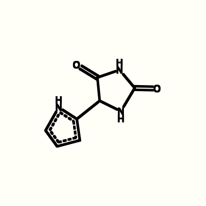 O=C1NC(=O)C(c2ccc[nH]2)N1